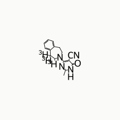 [3H]C1N(c2nc(C)[nH]c(=O)c2C#N)CCc2ccccc2C1([3H])[3H]